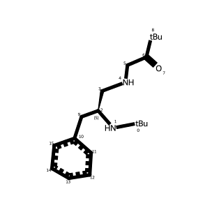 CC(C)(C)N[C@H](CNCC(=O)C(C)(C)C)Cc1ccccc1